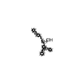 Cl.c1ccc(COc2ccc(CCCCNCCc3ccc(OCc4ccccc4)c(OCc4ccccc4)c3)cc2)cc1